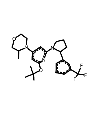 CC1COCCN1c1cc(OC(C)(C)C)nc(N2CCCC2c2cccc(C(F)(F)F)c2)c1